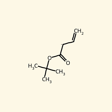 C=C[CH]C(=O)OC(C)(C)C